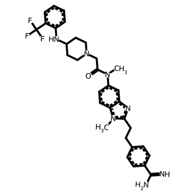 CN(C(=O)CN1CCC(Nc2ccccc2C(F)(F)F)CC1)c1ccc2c(c1)nc(CCc1ccc(C(=N)N)cc1)n2C